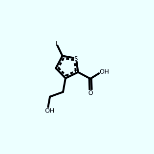 O=C(O)c1sc(I)cc1CCO